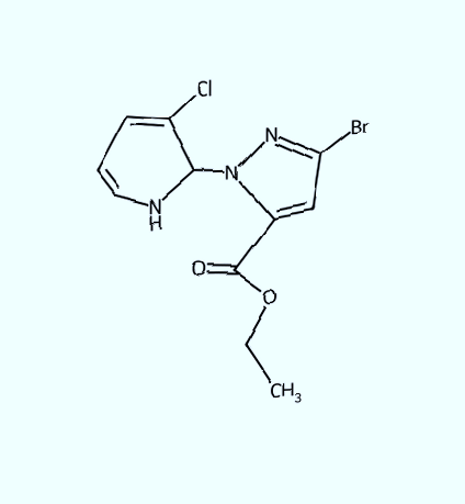 CCOC(=O)c1cc(Br)nn1C1NC=CC=C1Cl